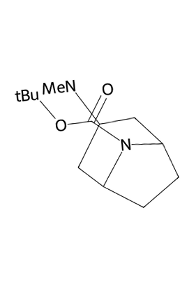 CNC1CC2CCC(C1)N2C(=O)OC(C)(C)C